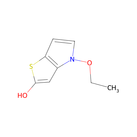 CCOn1ccc2sc(O)cc21